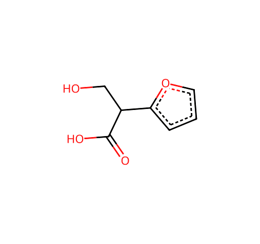 O=C(O)C(CO)c1ccco1